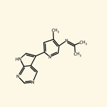 CC(C)=Nc1cnc(-c2c[nH]c3ncncc23)cc1C